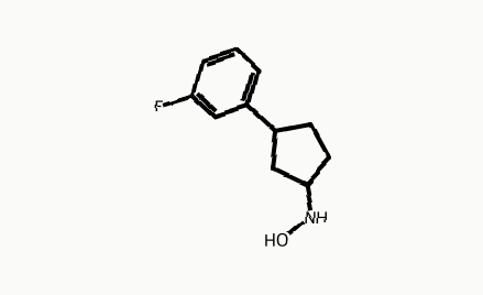 ONC1CCC(c2cccc(F)c2)C1